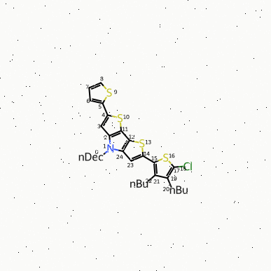 CCCCCCCCCCn1c2cc(-c3cccs3)sc2c2sc(-c3sc(Cl)c(CCCC)c3CCCC)cc21